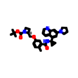 Cc1ccc(OC[C@@H]2CCN2C(=O)OC(C)(C)C)cc1C(=O)NC1(c2cc(N3CCCC3)cc3ncccc23)CC1